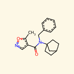 Cc1oncc1C(=O)N(Cc1ccccc1)C12CCC(CC1)C2